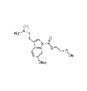 COc1ccc2c(CCN(C)C)cn(C(=O)OCCOO)c2c1